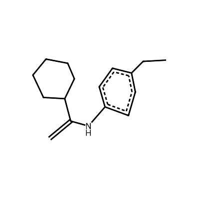 C=C(Nc1ccc(CC)cc1)C1CCCCC1